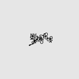 C#CCON=C(C(=O)NC1C(=O)N2CC(C=C)(C(=O)OCOC(=O)C(C)(C)C)CS[C@H]12)c1csc(N)n1